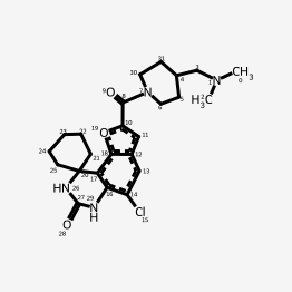 CN(C)CC1CCN(C(=O)c2cc3cc(Cl)c4c(c3o2)C2(CCCCC2)NC(=O)N4)CC1